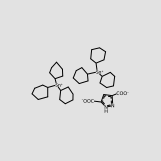 C1CC[CH]([Sn+]([CH]2CCCCC2)[CH]2CCCCC2)CC1.C1CC[CH]([Sn+]([CH]2CCCCC2)[CH]2CCCCC2)CC1.O=C([O-])c1cc(C(=O)[O-])[nH]n1